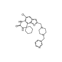 O=C1Nc2c(Cl)cc3cc(CN4CCN(Cc5cccnc5)CC4)oc3c2C2(CCCCC2)N1